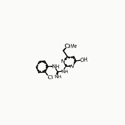 COCc1cc(O)nc(NC(=N)Nc2ccccc2Cl)n1